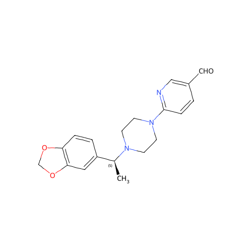 C[C@@H](c1ccc2c(c1)OCO2)N1CCN(c2ccc(C=O)cn2)CC1